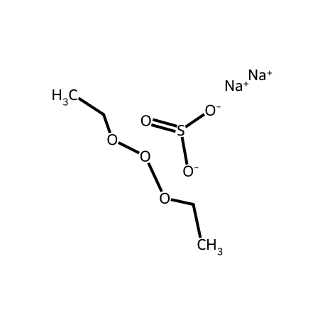 CCOOOCC.O=S([O-])[O-].[Na+].[Na+]